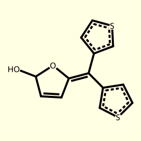 OC1C=CC(=C(c2ccsc2)c2ccsc2)O1